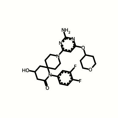 Nc1nc(OC2CCOCC2)cc(N2CCC3(CC2)CC(O)CC(=O)N3c2ccc(F)c(F)c2)n1